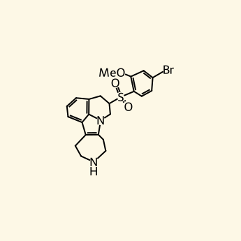 COc1cc(Br)ccc1S(=O)(=O)C1Cc2cccc3c4c(n(c23)C1)CCNCC4